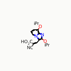 CC(C)Oc1nc2c(OC(C)C)cccn2c1C=C(C#N)C(=O)O